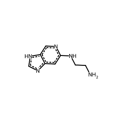 NCCNc1cc2nc[nH]c2cn1